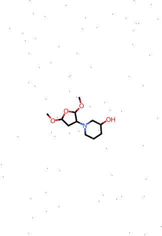 COC1CC(N2CCCC(O)C2)C(OC)O1